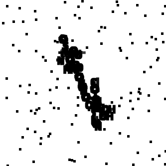 CN(C)CC[C@@H](CSc1ccccc1)Nc1ccc(S(=O)(=O)NC(=O)c2ccc(N3CCN(c4cccc(-c5c(-c6ccc(Cl)cc6)cn(CC[C@H](O)CO)c5C(=O)NCCCN5CCN(C)CC5)c4)CC3)cc2)cc1[N+](=O)[O-]